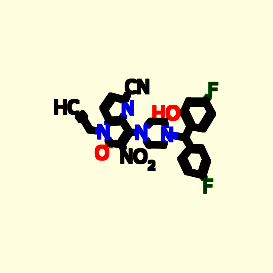 C#CCn1c(=O)c([N+](=O)[O-])c(N2CCN(C(c3ccc(F)cc3)c3ccc(F)cc3O)CC2)c2nc(C#N)ccc21